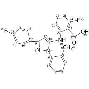 Cc1ccccc1-n1nc(-c2ccc(F)cc2)cc1Nc1cccc(F)c1C(=O)O